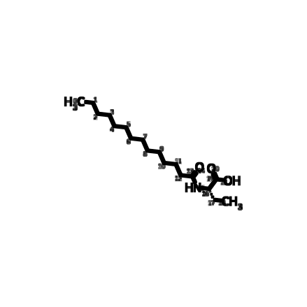 CCCCCCCCCCCCCC(=O)N[C@@H](CC)C(=O)O